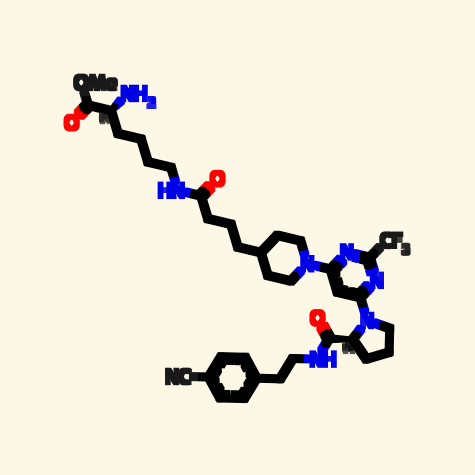 COC(=O)[C@@H](N)CCCCNC(=O)CCCC1CCN(c2cc(N3CCC[C@H]3C(=O)NCCc3ccc(C#N)cc3)nc(C(F)(F)F)n2)CC1